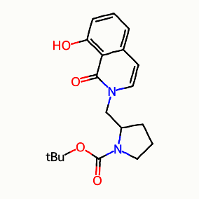 CC(C)(C)OC(=O)N1CCCC1Cn1ccc2cccc(O)c2c1=O